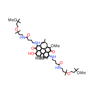 COc1c2c3c4c(c(NCCCC(=O)NCCC(C)(C)OCCC(C)(C)OC)c(=O)c5c(O)cc(OC)c(c6c(OC)cc(NCCCC(=O)NCCC(C)(C)OCCC(C)(C)OC)c(c1=O)c63)c54)C=C(C)C2